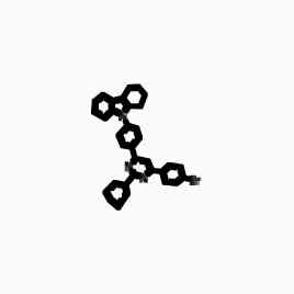 Brc1ccc(-c2cc(-c3ccc(-n4c5c(c6ccccc64)C=CCC5)cc3)nc(-c3ccccc3)n2)cc1